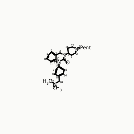 CCCC(C)N1CCC(N(Cc2ccccc2)C(=O)Nc2ccc(CN(C)C)cc2)CC1